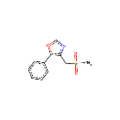 CS(=O)(=O)Cc1ncoc1-c1ccccc1